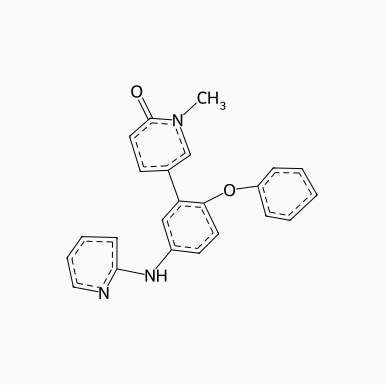 Cn1cc(-c2cc(Nc3ccccn3)ccc2Oc2ccccc2)ccc1=O